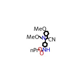 CCCOC(=O)Nc1ccc(-c2c(C#N)c3ccc(OC)cc3n2CCOC)cc1